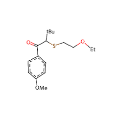 CCOCCSC(C(=O)c1ccc(OC)cc1)C(C)(C)C